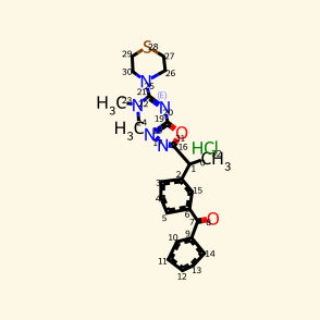 CC(c1cccc(C(=O)c2ccccc2)c1)c1nnc(/N=C(\N(C)C)N2CCSCC2)o1.Cl